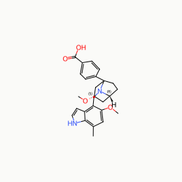 COc1cc(C)c2[nH]ccc2c1CN1[C@@H]2CCC1(c1ccc(C(=O)O)cc1)C[C@@H](OC)C2